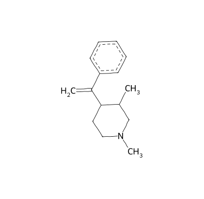 C=C(c1ccccc1)C1CCN(C)CC1C